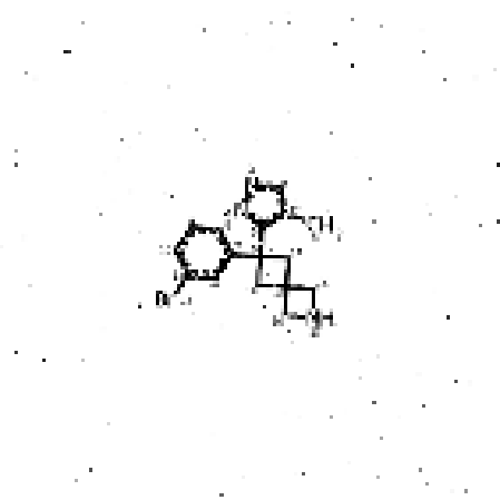 Cn1cnnc1C1(c2cccc(Br)c2)CC2(CNC2)C1